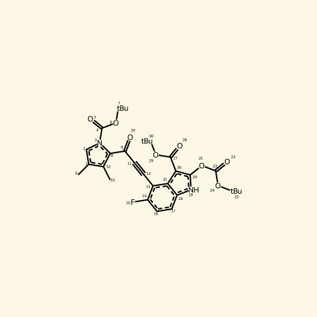 Cc1cn(C(=O)OC(C)(C)C)c(C(=O)C#Cc2c(F)ccc3[nH]c(OC(=O)OC(C)(C)C)c(C(=O)OC(C)(C)C)c23)c1C